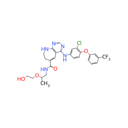 CC(CNC(=O)C1=Cc2c(ncnc2Nc2ccc(Oc3cccc(C(F)(F)F)c3)c(Cl)c2)NCC1)OCCO